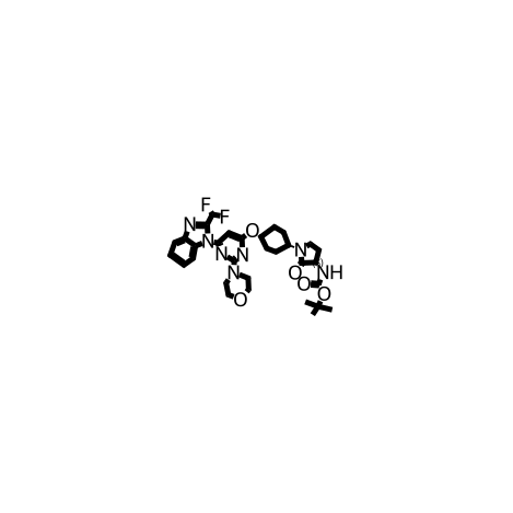 CC(C)(C)OC(=O)N[C@H]1CCN([C@H]2CC[C@H](Oc3cc(-n4c(C(F)F)nc5ccccc54)nc(N4CCOCC4)n3)CC2)C1=O